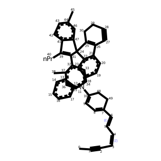 CC#C/C=C\C=C\C1=CC=C(N(c2ccccc2)c2ccc3c(c2)C2(C4=C3C#CCC4)C(c3ccccc3C)=C(CCC)c3ccc(C)cc32)CC1